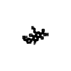 NCC1CCN(c2c(F)cc3c(=O)c(C(=O)O)cn(CCF)c3c2Cl)C1